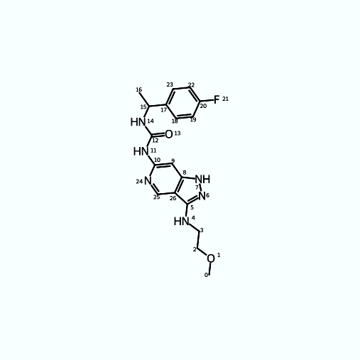 COCCNc1n[nH]c2cc(NC(=O)NC(C)c3ccc(F)cc3)ncc12